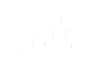 COc1ccc(C2CC(OC(=O)O)CN(C(=O)C(C)(C)C)C2)cc1